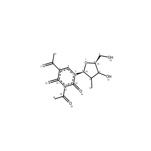 CC(=O)c1cn([C@H]2O[C@@H](CO)C(O)C2C)c(=O)n(C(C)=O)c1=S